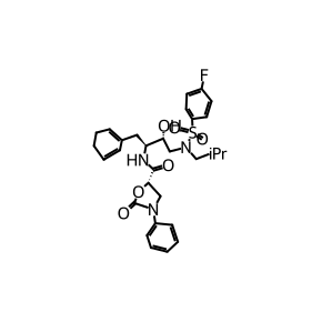 CC(C)CN(C[C@@H](O)[C@H](CC1=CCCC=C1)NC(=O)[C@@H]1CN(c2ccccc2)C(=O)O1)S(=O)(=O)c1ccc(F)cc1